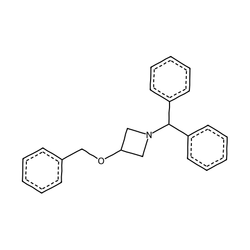 c1ccc(COC2CN(C(c3ccccc3)c3ccccc3)C2)cc1